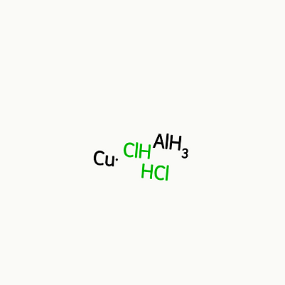 Cl.Cl.[AlH3].[Cu]